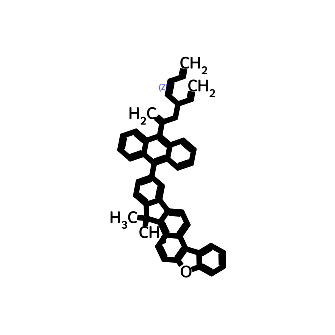 C=C/C=C\C(C=C)CC(=C)c1c2ccccc2c(-c2ccc3c(c2)-c2ccc4c(ccc5oc6ccccc6c54)c2C3(C)C)c2ccccc12